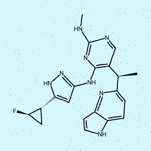 CNc1ncc([C@@H](C)c2ccc3[nH]ccc3n2)c(Nc2cc([C@@H]3C[C@H]3F)[nH]n2)n1